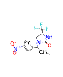 CC(c1ccc([N+](=O)[O-])cc1)N1C[C@@H](C(F)(F)F)NC1=O